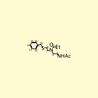 CCC(=O)N(CCNC(C)=O)CCSCc1ccccc1